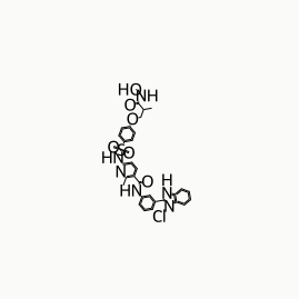 Cc1nc(NS(=O)(=O)c2ccc(OCC(C)C(=O)NO)cc2)ccc1C(=O)Nc1ccc(Cl)c(-c2nc3ccccc3[nH]2)c1